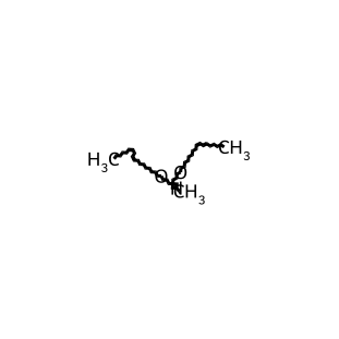 CCCCC/C=C\C/C=C\CCCCCCCCOCCCC1(CCCOCCCCCCCC/C=C\C=C\CCCCC)CN(C)C1